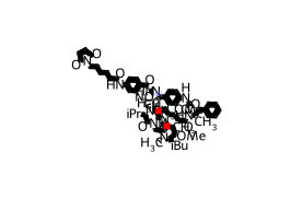 CCC(C)C(C(CC(=O)N1CCCC1C(OC)C(C)C(=O)NC(C)C(OC(=O)Nc1ccc(/C(C)=N/NC(=O)c2ccc(NC(=O)CCCCCN3C(=O)C=CC3=O)cc2[N+](=O)[O-])cc1)c1ccccc1)OC)N(C)C(=O)CNC(=O)C(C(C)C)N(C)C